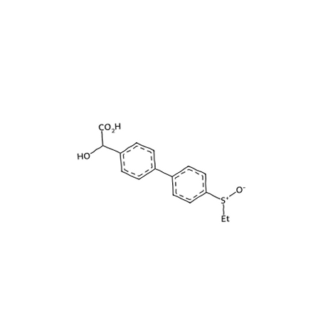 CC[S+]([O-])c1ccc(-c2ccc(C(O)C(=O)O)cc2)cc1